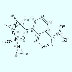 O=[N+]([O-])c1cccc2c(C(OP(=O)(N3CC3)N3CC3)C(F)(F)F)cccc12